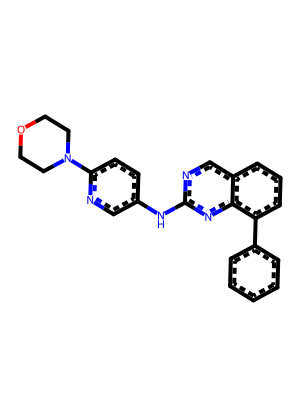 c1ccc(-c2cccc3cnc(Nc4ccc(N5CCOCC5)nc4)nc23)cc1